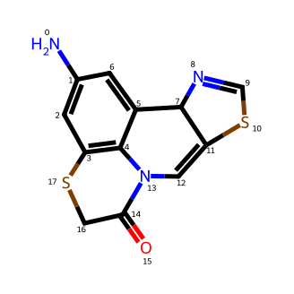 Nc1cc2c3c(c1)C1N=CSC1=CN3C(=O)CS2